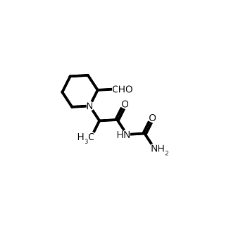 CC(C(=O)NC(N)=O)N1CCCCC1C=O